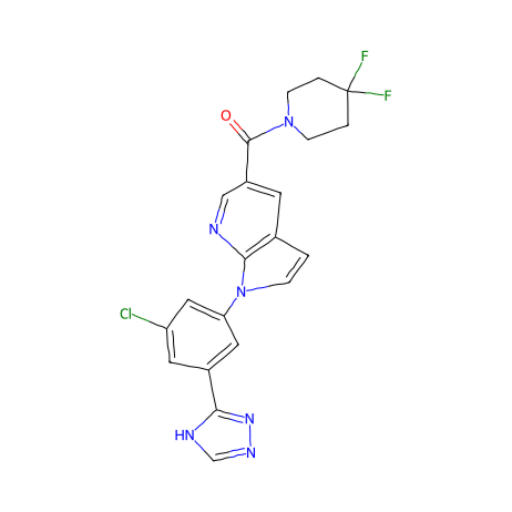 O=C(c1cnc2c(ccn2-c2cc(Cl)cc(-c3nnc[nH]3)c2)c1)N1CCC(F)(F)CC1